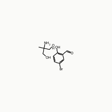 CC(N)(CO)CO.O=Cc1cc(Br)ccc1O